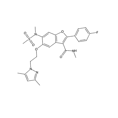 CNC(=O)c1c(-c2ccc(F)cc2)oc2cc(N(C)S(C)(=O)=O)c(OCCn3nc(C)cc3C)cc12